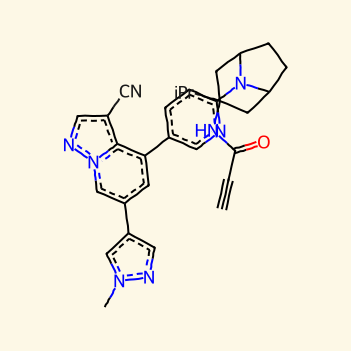 C#CC(=O)NC1(C(C)C)CC2CCC(C1)N2c1ccc(-c2cc(-c3cnn(C)c3)cn3ncc(C#N)c23)cn1